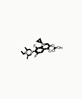 CCN1C(C)CN(c2c(F)cc3c(=O)c(OC(=O)O)cn(C4CC4)c3c2F)CC1C